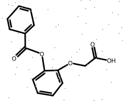 O=C(O)COc1ccccc1OC(=O)c1ccccc1